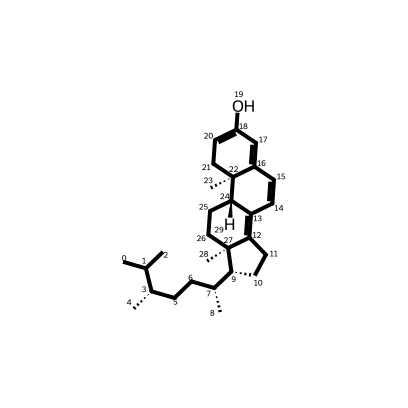 CC(C)[C@@H](C)CC[C@@H](C)[C@H]1CCC2=C3C=CC4=CC(O)=CC[C@]4(C)[C@H]3CC[C@@]21C